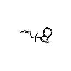 CC(C)(CN=[N+]=[N-])c1c[nH]c2ccccc12